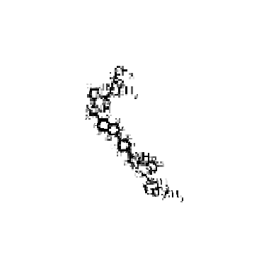 CC[C@H](NC(=O)OC)C(=O)N1CCC[C@H]1c1ncc(-c2ccc(-c3ccc4cc(-c5cnc([C@@H]6CCCN6C(=O)[C@H](CC)NC(=O)OC)[nH]5)ccc4c3)cc2)[nH]1